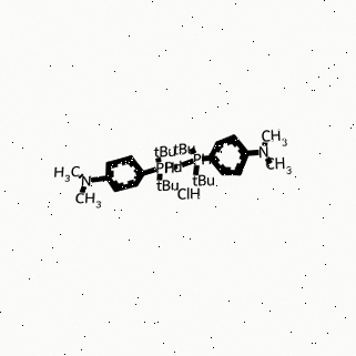 CN(C)c1ccc([PH]([Pd][PH](c2ccc(N(C)C)cc2)(C(C)(C)C)C(C)(C)C)(C(C)(C)C)C(C)(C)C)cc1.Cl